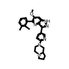 COc1cc2[nH]nc(-c3ccc(N4CCN5CCCC5C4)nc3)c2nc1-c1cccc(C)c1C